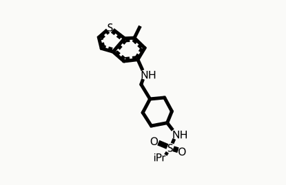 Cc1cc(NCC2CCC(NS(=O)(=O)C(C)C)CC2)cc2ccsc12